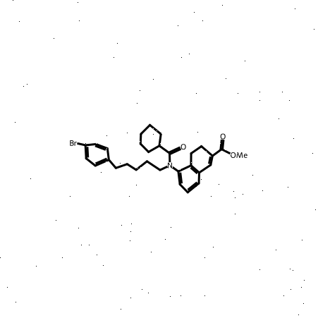 COC(=O)C1=Cc2cccc(N(CCCCCc3ccc(Br)cc3)C(=O)C3CCCCC3)c2CC1